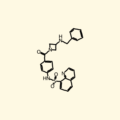 O=C(c1ccc(NS(=O)(=O)c2cccc3cccnc23)cc1)N1CC(NCc2ccccc2)C1